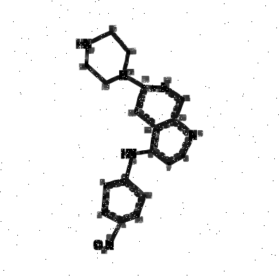 O=[N+]([O-])c1ccc(Nc2ccnc3cnc(N4CCNCC4)cc23)cc1